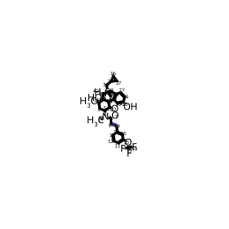 CC1CC(N(C)C(=O)/C=C/c2cccc(OC(F)(F)F)c2)C2Oc3c(O)ccc4c3[C@@]23CCN(CC2CC2)[C@H](C4)[C@]13O